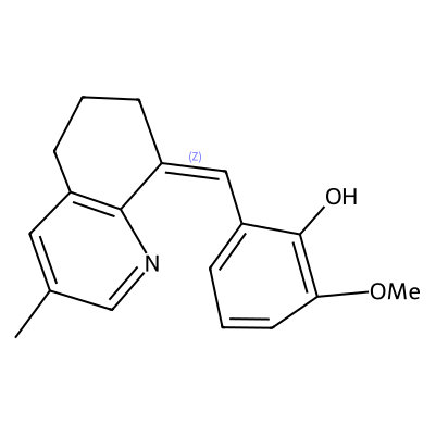 COc1cccc(/C=C2/CCCc3cc(C)cnc32)c1O